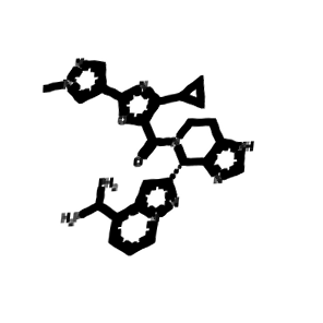 Cn1cc(-c2nc(C3CC3)c(C(=O)N3CCc4[nH]cnc4[C@@H]3c3cc4c(C(P)P)cccn4n3)o2)cn1